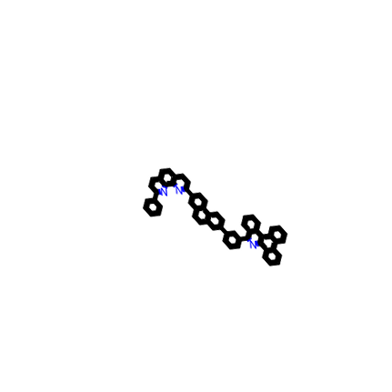 c1ccc(-c2ccc3ccc4ccc(-c5ccc6c(ccc7cc(-c8cccc(-c9nc%10c%11ccccc%11c%11ccccc%11c%10c%10ccccc9%10)c8)ccc76)c5)nc4c3n2)cc1